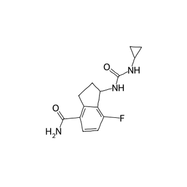 NC(=O)c1ccc(F)c2c1CCC2NC(=O)NC1CC1